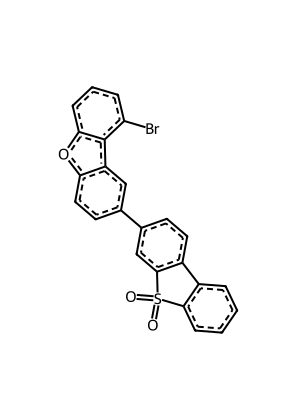 O=S1(=O)c2ccccc2-c2ccc(-c3ccc4oc5cccc(Br)c5c4c3)cc21